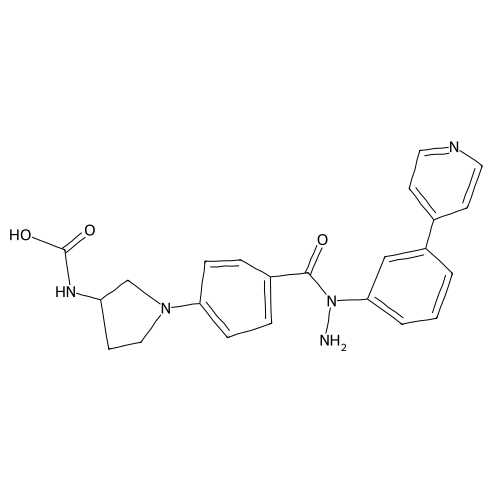 NN(C(=O)c1ccc(N2CCC(NC(=O)O)C2)cc1)c1cccc(-c2ccncc2)c1